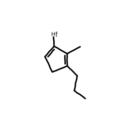 CCCC1=C(C)[C]([Hf])=CC1